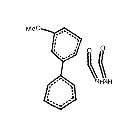 COc1cccc(-c2ccccc2)c1.N=C=O.N=C=O